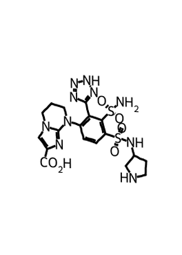 NS(=O)(=O)c1c(S(=O)(=O)NC2CCNC2)ccc(N2CCCn3cc(C(=O)O)nc32)c1-c1nn[nH]n1